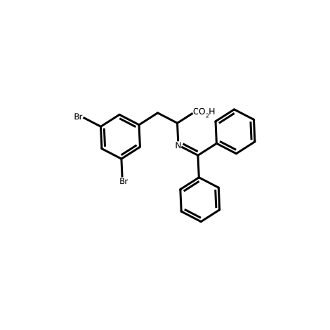 O=C(O)C(Cc1cc(Br)cc(Br)c1)N=C(c1ccccc1)c1ccccc1